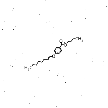 CCCCCCC=COc1ccc(C(=O)OCCCC)cc1